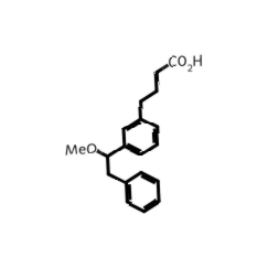 COC(Cc1ccccc1)c1cccc(CCCC(=O)O)c1